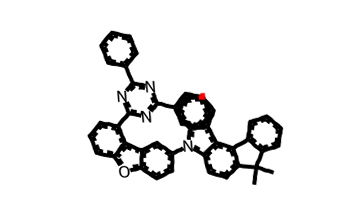 CC1(C)c2ccccc2-c2c1ccc1c2c2ccccc2n1-c1ccc2oc3cccc(-c4nc(-c5ccccc5)nc(-c5ccccc5)n4)c3c2c1